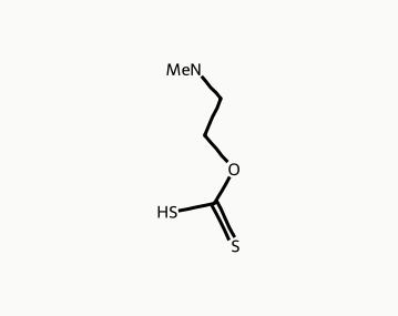 CNCCOC(=S)S